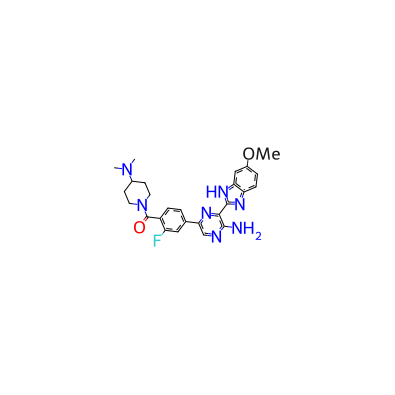 COc1ccc2nc(-c3nc(-c4ccc(C(=O)N5CCC(N(C)C)CC5)c(F)c4)cnc3N)[nH]c2c1